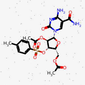 CC(=O)OC[C@H]1O[C@@H](n2cc(C(N)=O)c(N)nc2=O)[C@H](OC(C)=O)[C@H]1OS(=O)(=O)c1ccc(C)cc1